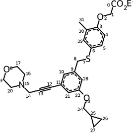 CCOC(=O)COc1ccc(SCc2cc(C#CCN3CCOCC3)cc(OCC3CC3)c2)cc1C